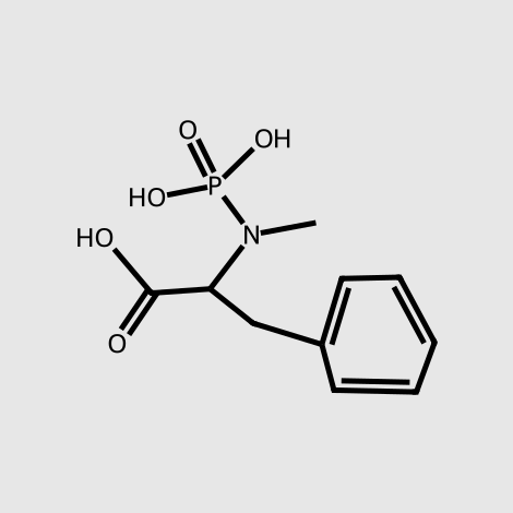 CN(C(Cc1ccccc1)C(=O)O)P(=O)(O)O